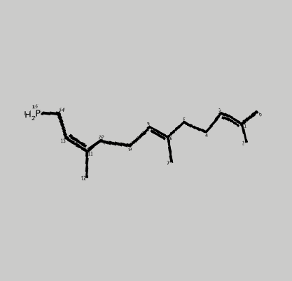 CC(C)=CCC/C(C)=C/CC/C(C)=C\CP